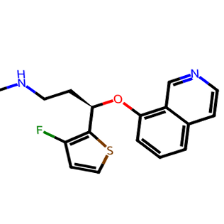 CNCC[C@@H](Oc1cccc2ccncc12)c1sccc1F